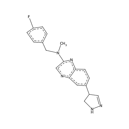 CN(Cc1ccc(F)cc1)c1cnc2cc(C3C=NNC3)ccc2n1